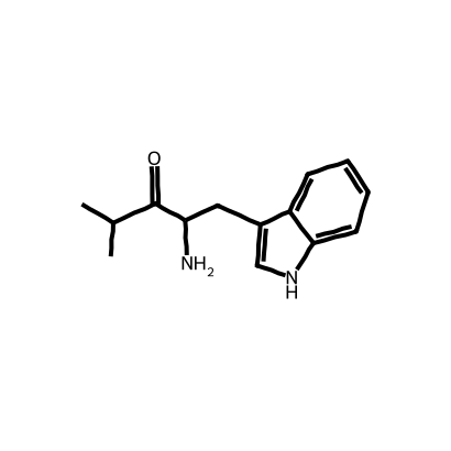 CC(C)C(=O)C(N)Cc1c[nH]c2ccccc12